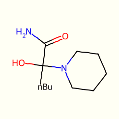 CCCCC(O)(C(N)=O)N1CCCCC1